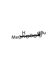 COCCNCCOCCOCCOCCC(=O)OC(C)(C)C